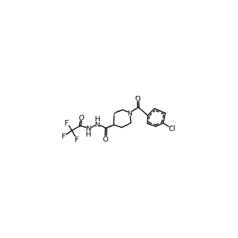 O=C(NNC(=O)C(F)(F)F)C1CCN(C(=O)c2ccc(Cl)cc2)CC1